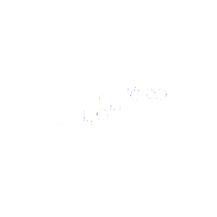 CC(C)C(COc1nnc(-c2cc3ccccc3o2)o1)Nc1ccc(C(=O)NCCC(=O)O)cc1